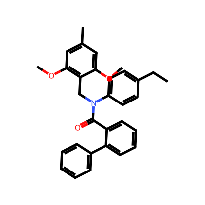 CCc1ccc(N(Cc2c(OC)cc(C)cc2OC)C(=O)c2ccccc2-c2ccccc2)cc1